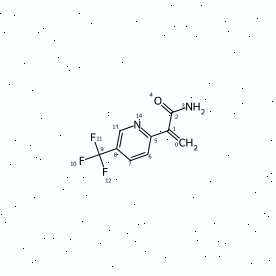 C=C(C(N)=O)c1ccc(C(F)(F)F)cn1